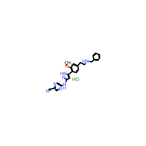 COc1cc(CCNCc2ccccc2)ccc1-c1cc(Nc2cnc(C#N)cn2)n[nH]1.Cl